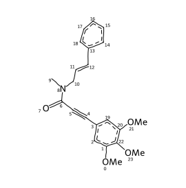 COc1cc(C#CC(=O)N(C)CC=Cc2ccccc2)cc(OC)c1OC